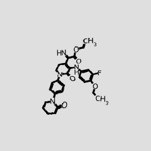 CCOC(=O)C(=N)C1=C(Nc2ccc(OCC)c(F)c2)C(=O)N(c2ccc(N3CCCCC3=O)cc2)CC1